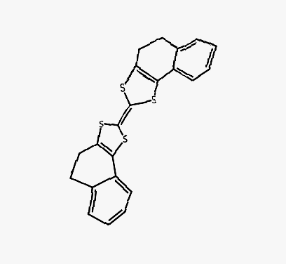 c1ccc2c(c1)CCC1=C2S/C(=C2/SC3=C(S2)c2ccccc2CC3)S1